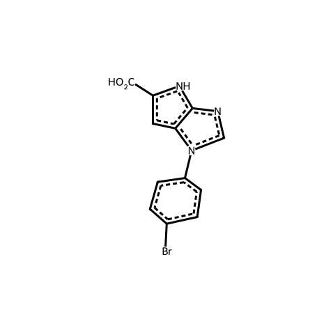 O=C(O)c1cc2c(ncn2-c2ccc(Br)cc2)[nH]1